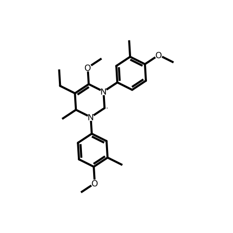 CCC1=C(OC)N(c2ccc(OC)c(C)c2)[CH]N(c2ccc(OC)c(C)c2)C1C